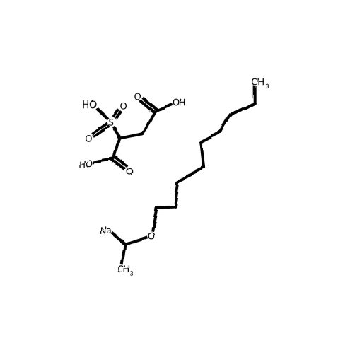 CCCCCCCCCO[CH](C)[Na].O=C(O)CC(C(=O)O)S(=O)(=O)O